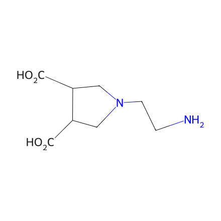 NCCN1CC(C(=O)O)C(C(=O)O)C1